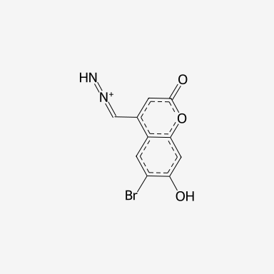 N=[N+]=Cc1cc(=O)oc2cc(O)c(Br)cc12